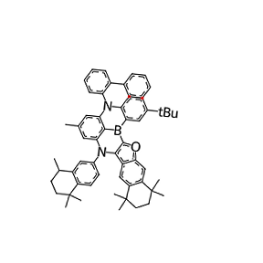 Cc1cc2c3c(c1)N(c1ccc4c(c1)C(C)CCC4(C)C)c1c(oc4cc5c(cc14)C(C)(C)CCC5(C)C)B3c1cc(C(C)(C)C)ccc1N2c1ccccc1-c1ccccc1